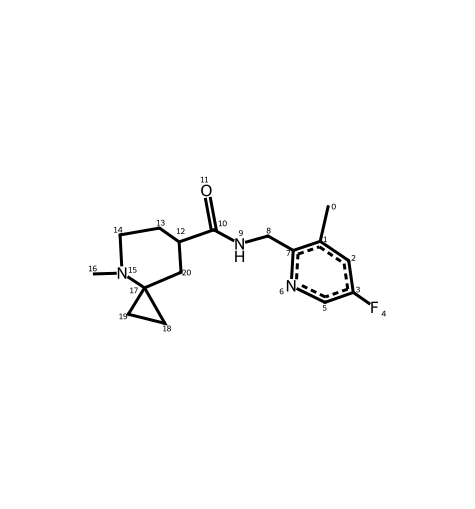 Cc1cc(F)cnc1CNC(=O)C1CCN(C)C2(CC2)C1